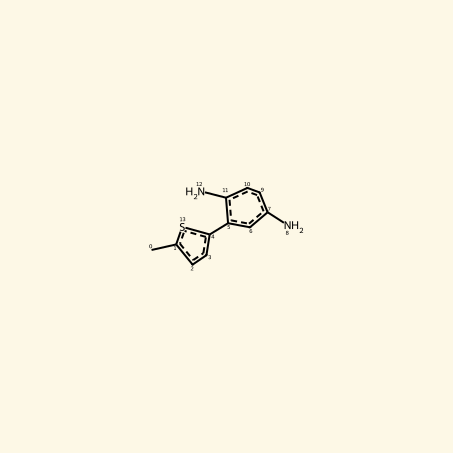 Cc1ccc(-c2cc(N)ccc2N)s1